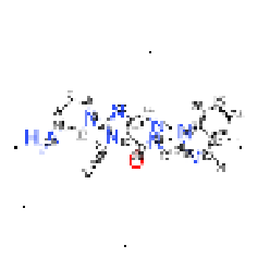 CC#Cn1c(N2CCC[C@@H](N)C2)nc2cnn(Cc3nc(C)c4ccccc4n3)c(=O)c21